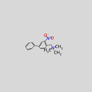 C[N+](C)(C)Cc1ccc(-c2ccccc2)cc1[N+](=O)[O-]